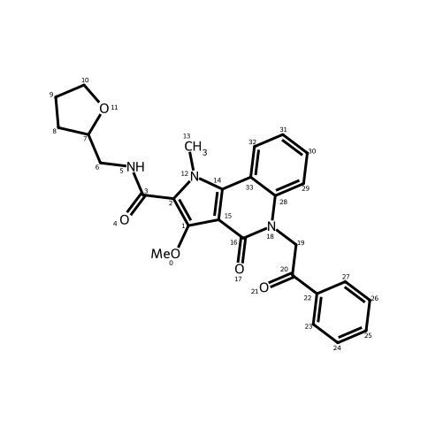 COc1c(C(=O)NCC2CCCO2)n(C)c2c1c(=O)n(CC(=O)c1ccccc1)c1ccccc21